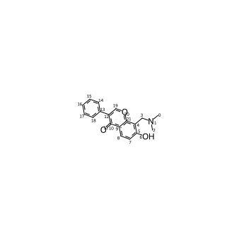 CN(C)Cc1c(O)ccc2c(=O)c(-c3ccccc3)coc12